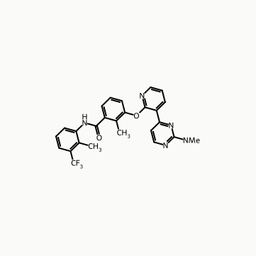 CNc1nccc(-c2cccnc2Oc2cccc(C(=O)Nc3cccc(C(F)(F)F)c3C)c2C)n1